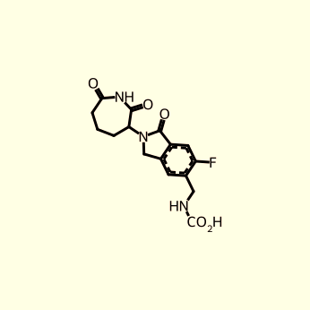 O=C(O)NCc1cc2c(cc1F)C(=O)N(C1CCCC(=O)NC1=O)C2